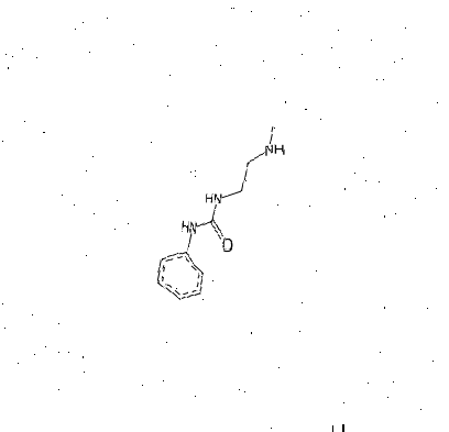 CNCCNC(=O)Nc1ccccc1